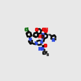 O=C(N[C@H]1c2ccccc2OC[C@H]1O)[C@H](Cc1cccnc1)C[C@H](O)CN1CCN(Cc2ccn(-c3ccc(Cl)cc3)c2)C[C@H]1C(=O)NCC(F)(F)F